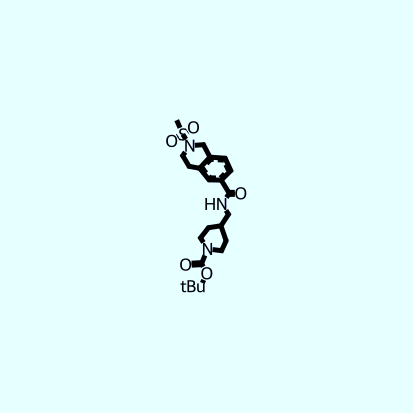 CC(C)(C)OC(=O)N1CCC(CNC(=O)c2ccc3c(c2)CCN(S(C)(=O)=O)C3)CC1